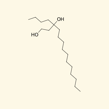 CCCCCCCCCCCC(O)(CCO)CCCC